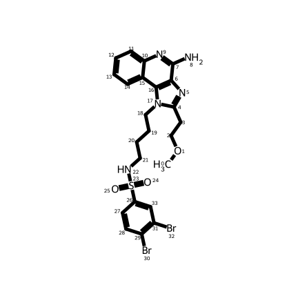 COCCc1nc2c(N)nc3ccccc3c2n1CCCCNS(=O)(=O)c1ccc(Br)c(Br)c1